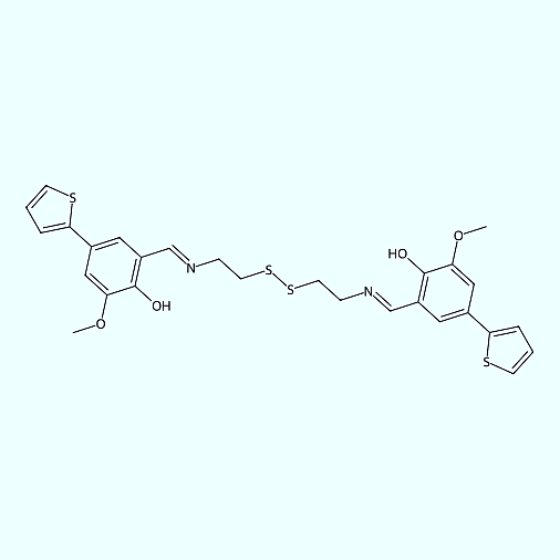 COc1cc(-c2cccs2)cc(/C=N/CCSSCC/N=C/c2cc(-c3cccs3)cc(OC)c2O)c1O